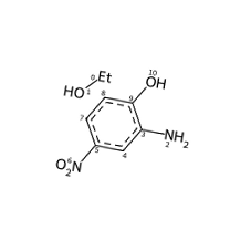 CCO.Nc1cc([N+](=O)[O-])ccc1O